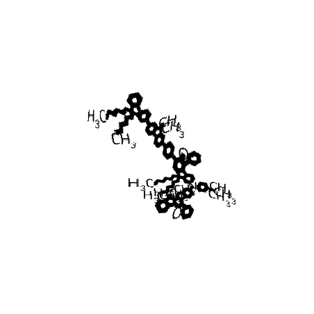 CCCCCCCC1(CCCCCCC)c2ccccc2-c2ccc(-c3ccc4c(c3)C(C)(C)c3cc(-c5ccc(-c6cc7c(c8c6oc6ccccc68)-c6ccc(N(c8ccc(C(C)(C)C)cc8)c8ccc9c(c8)C(C)(C)c8c%10c(c%11oc%12ccccc%12c%11c8-9)-c8ccccc8C%10(C)C)cc6C7(CCCCCCC)CCCCCCC)cc5)ccc3-4)cc21